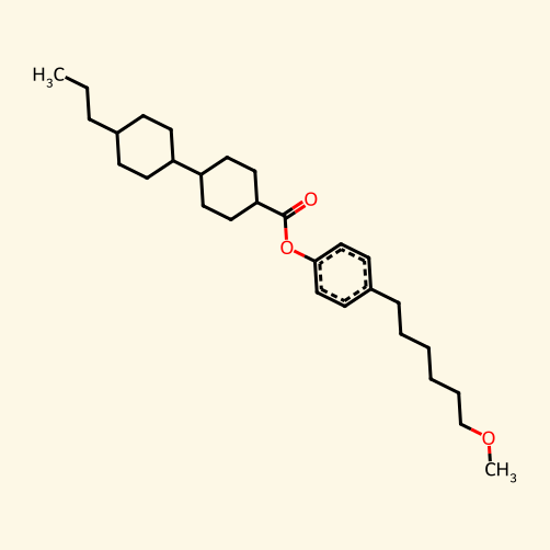 CCCC1CCC(C2CCC(C(=O)Oc3ccc(CCCCCCOC)cc3)CC2)CC1